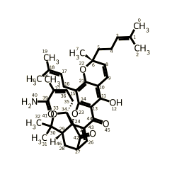 CC(C)=CCC[C@]1(C)C=Cc2c(O)c3c(c(CC=C(C)C)c2O1)O[C@]12C(=CC4C[C@@H]1C(C)(C)O[C@@]2(C/C=C(/C)C(N)=O)C4=O)C3=O